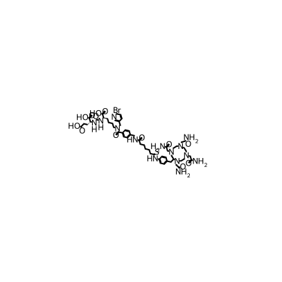 NC(=O)CN1CCN(CC(N)=O)CCN(CC(N)=O)C(Cc2ccc(NC(=S)CCCCCC(=O)NCc3ccc(C(=O)N(CCCC[C@@H](NC(=O)N[C@H](CCC(=O)O)C(=O)O)C(=O)O)Cc4ccc(Br)nc4)cc3)cc2)CN(CC(N)=O)CC1